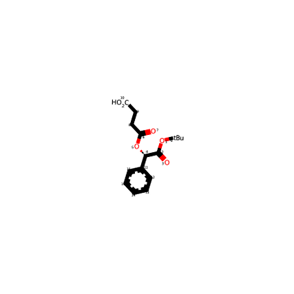 CC(C)(C)OC(=O)[C@@H](OC(=O)CCC(=O)O)c1ccccc1